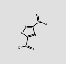 O=[N+]([O-])C1=NC([N+](=O)[O-])=N[N]1